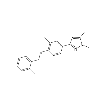 Cc1ccccc1CSc1ccc(-c2cc(C)n(C)n2)cc1C